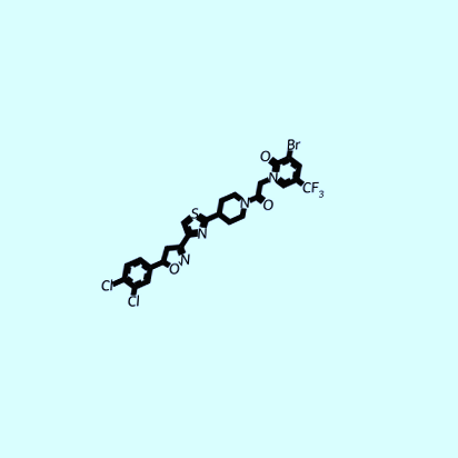 O=C(Cn1cc(C(F)(F)F)cc(Br)c1=O)N1CCC(c2nc(C3=NOC(c4ccc(Cl)c(Cl)c4)C3)cs2)CC1